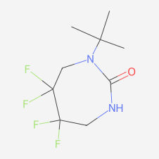 CC(C)(C)N1CC(F)(F)C(F)(F)CNC1=O